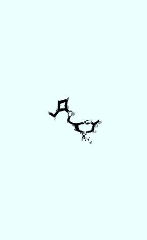 CCC1CCC1OCC1CN(P)CC(C)O1